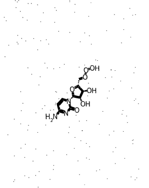 Nc1ccn([C@@H]2O[C@H](COOO)[C@@H](O)[C@H]2O)c(=O)n1